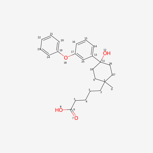 CC1(CCCCC(=O)O)CCC(O)(c2cccc(Oc3ccccc3)c2)CC1